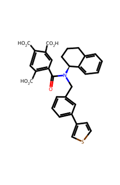 O=C(O)c1cc(C(=O)O)c(C(=O)N(Cc2cccc(-c3ccsc3)c2)[C@H]2CCCc3ccccc32)cc1C(=O)O